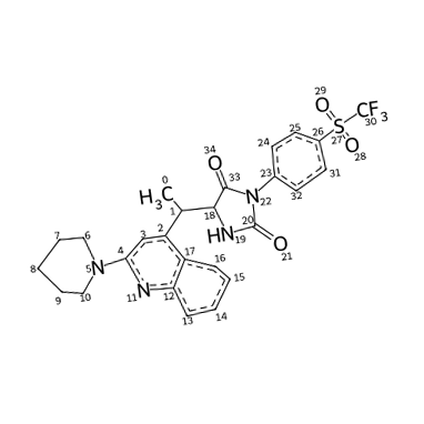 CC(c1cc(N2CCCCC2)nc2ccccc12)C1NC(=O)N(c2ccc(S(=O)(=O)C(F)(F)F)cc2)C1=O